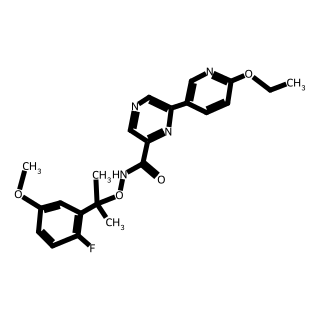 CCOc1ccc(-c2cncc(C(=O)NOC(C)(C)c3cc(OC)ccc3F)n2)cn1